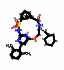 Cc1cccc(C)c1-c1cc2nc(n1)NS(=O)(=O)c1cccc(c1C)C(=O)N[C@H](CC1CCCCC1)CO2